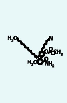 CCCCCCCCCCCCCn1c2c(c3cc(OCC(=O)OC)c(CCCCCC#N)cc31)C(C(N)=O)CCC2C